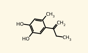 C=C(CC)c1cc(O)c(O)cc1C